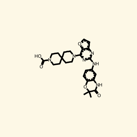 CC1(C)Oc2ccc(Nc3nc(N4CCC5(CCN(C(=O)O)CC5)CC4)c4occc4n3)cc2NC1=O